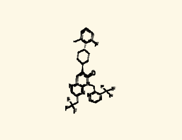 Cc1cccc(F)c1[C@H]1CC[C@H](c2cc3ncc(CC(F)(F)F)nc3n(Cc3ncccc3C(F)(F)F)c2=O)CC1